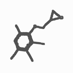 Cc1cc(C)c(OCC2CO2)c(C)c1C